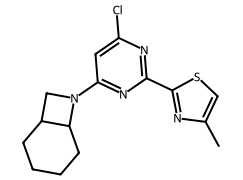 Cc1csc(-c2nc(Cl)cc(N3CC4CCCCC43)n2)n1